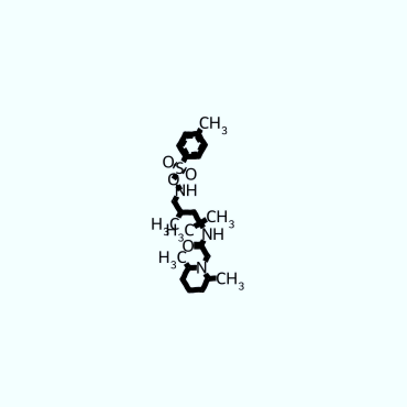 Cc1ccc(S(=O)(=O)ONCC(C)CC(C)(C)NC(=O)CN2C(C)CCCC2C)cc1